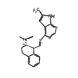 CN(C)[C@H]1CCc2ccccc2C1/C=N/c1ncnc2[nH]c(C(F)(F)F)cc12